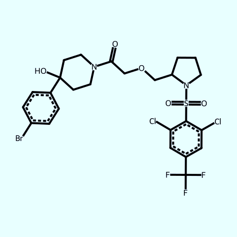 O=C(COCC1CCCN1S(=O)(=O)c1c(Cl)cc(C(F)(F)F)cc1Cl)N1CCC(O)(c2ccc(Br)cc2)CC1